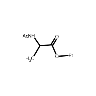 CCOC(=O)C(C)NC(C)=O